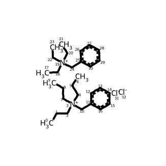 CCC[N+](CCC)(CCC)Cc1ccccc1.CC[N+](CC)(CC)Cc1ccccc1.[Cl-].[Cl-]